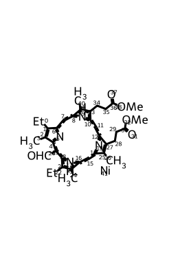 CCC1=C(C)c2nc1cc1[nH]c(cc3nc(cc4[nH]c(c2C=O)c(CC)c4C)C(C)=C3CCC(=O)OC)c(CCC(=O)OC)c1C.[Ni]